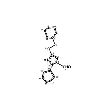 O=Cc1cc(OCc2ccccc2)nn1-c1ccccc1